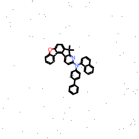 CC1(C)c2ccc3oc4ccccc4c3c2-c2ccc(N(c3ccc(-c4ccccc4)cc3)c3cccc4ccccc34)nc21